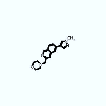 Cn1cc(-c2ccc3cnc(CN4CCOCC4)cc3c2)cn1